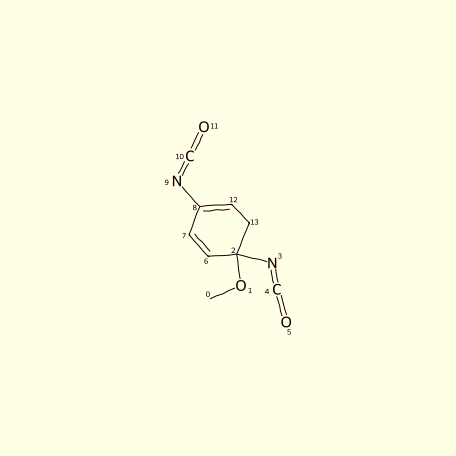 COC1(N=C=O)C=CC(N=C=O)=CC1